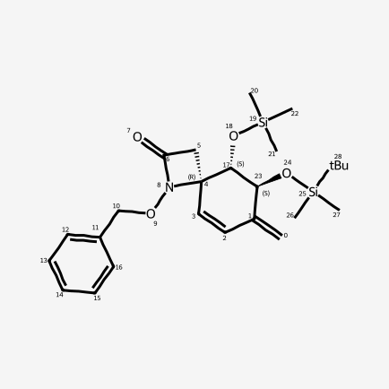 C=C1C=C[C@]2(CC(=O)N2OCc2ccccc2)[C@H](O[Si](C)(C)C)[C@H]1O[Si](C)(C)C(C)(C)C